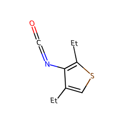 CCc1csc(CC)c1N=C=O